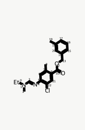 CCN(C)C=Nc1cc(C)c(C(=O)OCc2cccc(C)c2)cc1Cl